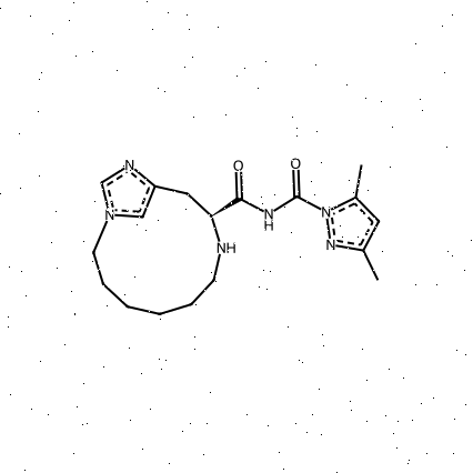 Cc1cc(C)n(C(=O)NC(=O)[C@@H]2Cc3cn(cn3)CCCCCCN2)n1